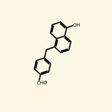 O=Cc1ccc(Cc2cccc3c(O)cccc23)cc1